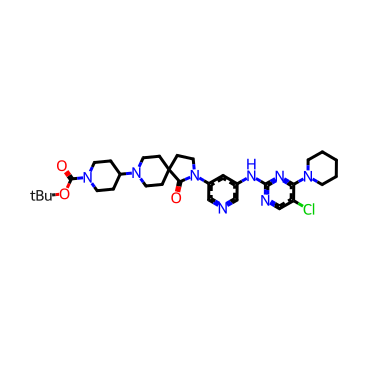 CC(C)(C)OC(=O)N1CCC(N2CCC3(CCN(c4cncc(Nc5ncc(Cl)c(N6CCCCC6)n5)c4)C3=O)CC2)CC1